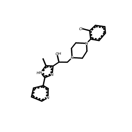 Cc1[nH]c(-c2cccnc2)nc1C(O)CN1CCN(c2ccccc2Cl)CC1